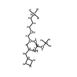 CC(C)(C)OC(=O)NC(COCOCCC[Si](C)(C)C)CC1CCC1